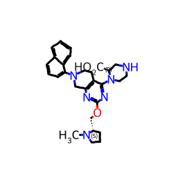 CN1CCC[C@H]1COc1nc2c(c(N3CCNC[C@@H]3C(=O)O)n1)CCN(c1cccc3ccccc13)C2